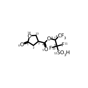 O=C1CC(C(=O)OC(C(F)(F)F)C(F)(F)S(=O)(=O)O)CO1